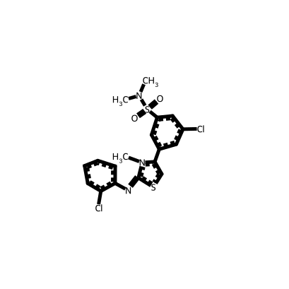 CN(C)S(=O)(=O)c1cc(Cl)cc(-c2csc(=Nc3ccccc3Cl)n2C)c1